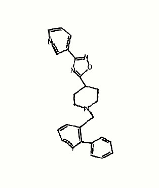 [c]1cccc(CN2CCC(c3nc(-c4cccnc4)no3)CC2)c1-c1ccccc1